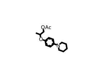 CC(=O)OCC(C)Oc1ccc(N2CCCCC2)cc1